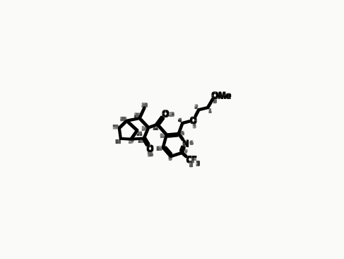 COCCOCc1nc(C(F)(F)F)ccc1C(=O)C1C(=O)C2CCC(C2)C1C